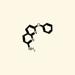 Nc1ccc2ccc(Oc3ccccc3)nc2n1